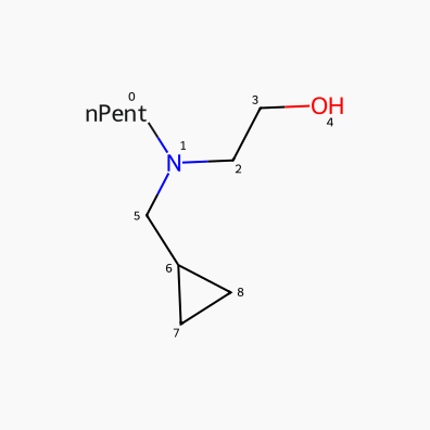 CCCCCN(CCO)CC1CC1